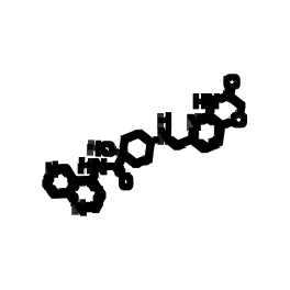 O=C1COc2ccc(CN[C@H]3CC[C@](O)(C(=O)Nc4ccnc5ccncc45)CC3)nc2N1